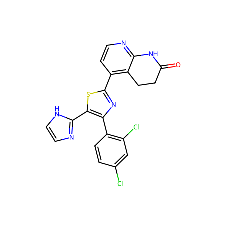 O=C1CCc2c(-c3nc(-c4ccc(Cl)cc4Cl)c(-c4ncc[nH]4)s3)ccnc2N1